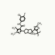 Cn1nc(C(F)(F)F)c(C2(O)CC3CC(c4nn(C)c(N)c4C(=O)Nc4ccc(F)c(Cl)c4)CC3C2)n1